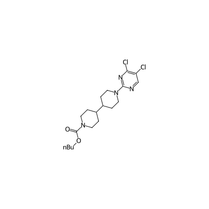 CCCCOC(=O)N1CCC(C2CCN(c3ncc(Cl)c(Cl)n3)CC2)CC1